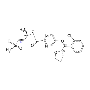 C[C@H](/C=C/S(C)(=O)=O)NC(=O)c1ncc(O[C@H](c2ccccc2Cl)[C@@H]2CCCO2)cn1